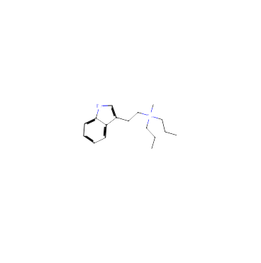 CCC[N+](C)(CCC)CCc1c[nH]c2ccccc12.[I-]